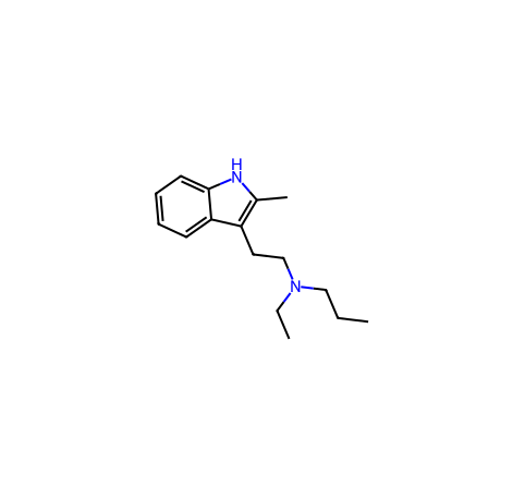 CCCN(CC)CCc1c(C)[nH]c2ccccc12